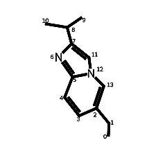 CCc1ccc2nc(C(C)C)cn2c1